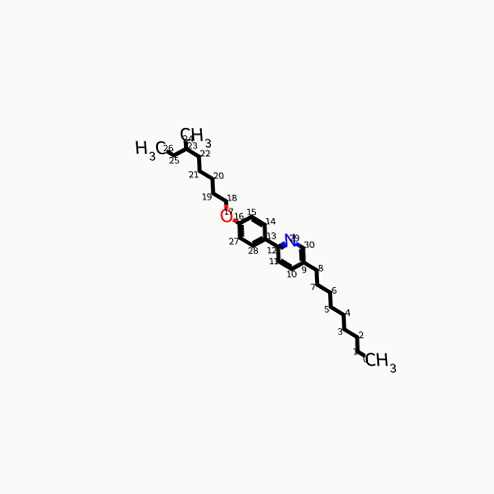 CCCCCCCCCc1ccc(-c2ccc(OCCCCCC(C)CC)cc2)nc1